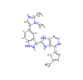 Cc1ccc(-c2nccc3[nH]c(-c4n[nH]c5ccc(-c6cnc(C)n6C)cc45)nc23)s1